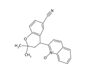 CC1(C)CC(c2ccc3ccccc3[n+]2[O-])c2cc(C#N)ccc2O1